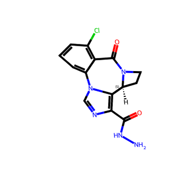 NNC(=O)c1ncn2c1[C@@H]1CCN1C(=O)c1c(Cl)cccc1-2